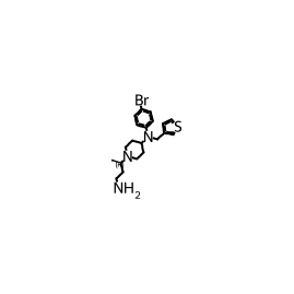 C[C@H](CCN)N1CCC(N(Cc2ccsc2)c2ccc(Br)cc2)CC1